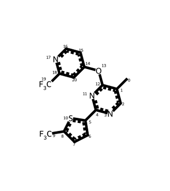 Cc1cnc(-c2ccc(C(F)(F)F)s2)nc1Oc1ccnc(C(F)(F)F)c1